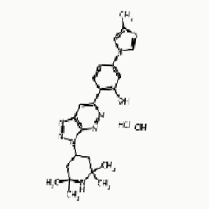 Cc1cn(-c2ccc(-c3cc4nnn(C5CC(C)(C)NC(C)(C)C5)c4nn3)c(O)c2)cn1.Cl.Cl